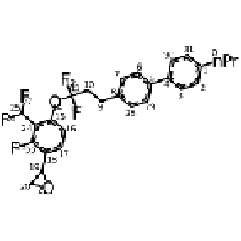 CCCc1ccc(-c2ccc(CCC(F)(F)Oc3ccc(C4CO4)c(F)c3C(F)F)cc2)cc1